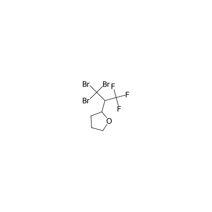 FC(F)(F)C(C1CCCO1)C(Br)(Br)Br